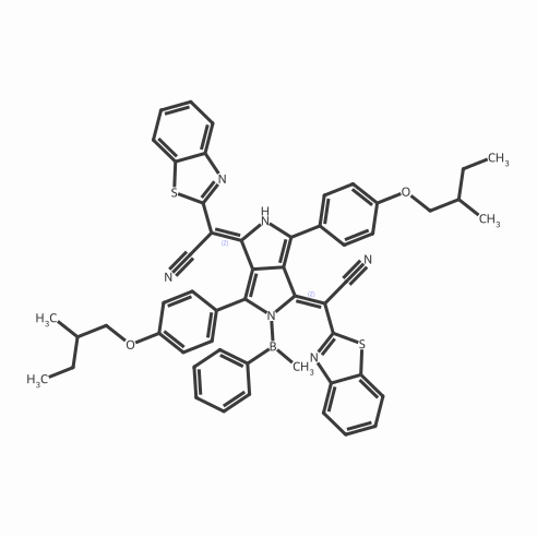 CCC(C)COc1ccc(-c2[nH]/c(=C(/C#N)c3nc4ccccc4s3)c3c(-c4ccc(OCC(C)CC)cc4)n(B(C)c4ccccc4)/c(=C(/C#N)c4nc5ccccc5s4)c23)cc1